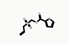 C=CCS(=O)(=O)COC(=O)c1cccs1